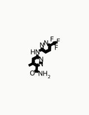 Cc1cc(Nc2ccc(C(F)(F)F)nn2)nnc1C(N)=O